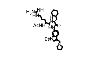 CCn1cc(CN2CCCC2)c2ccc(NC(=O)[C@H](CC3CCCCC3)NC(=O)[C@H](CCCNC(=N)N)NC(C)=O)cc21